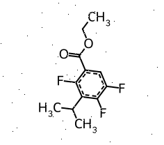 CCOC(=O)c1cc(F)c(F)c(C(C)C)c1F